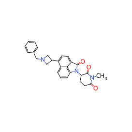 CN1C(=O)CCC(N2C(=O)c3ccc(C4CN(Cc5ccccc5)C4)c4cccc2c34)C1=O